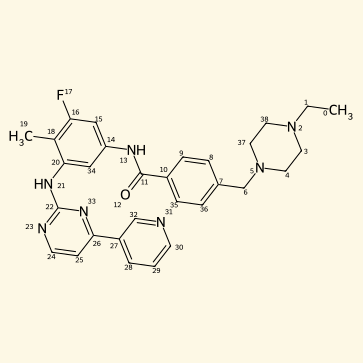 CCN1CCN(Cc2ccc(C(=O)Nc3cc(F)c(C)c(Nc4nccc(-c5cccnc5)n4)c3)cc2)CC1